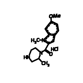 COc1ccc2cc(C(=O)N3CCNCC3C)n(C)c2c1.Cl